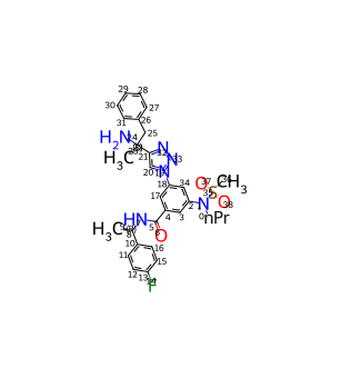 CCCN(c1cc(C(=O)N[C@H](C)c2ccc(F)cc2)cc(-n2cc([C@@](C)(N)Cc3ccccc3)nn2)c1)S(C)(=O)=O